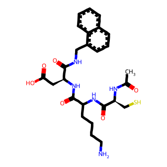 CC(=O)N[C@@H](CS)C(=O)NC(CCCCN)C(=O)N[C@@H](CC(=O)O)C(=O)NCc1cccc2ccccc12